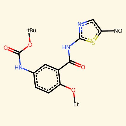 CCOc1ccc(NC(=O)OC(C)(C)C)cc1C(=O)Nc1ncc(N=O)s1